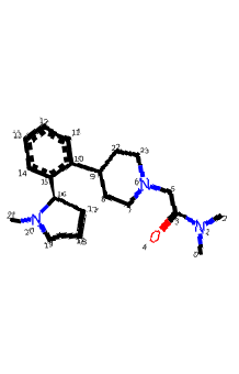 CN(C)C(=O)CN1CCC(c2ccccc2[C@H]2CCCN2C)CC1